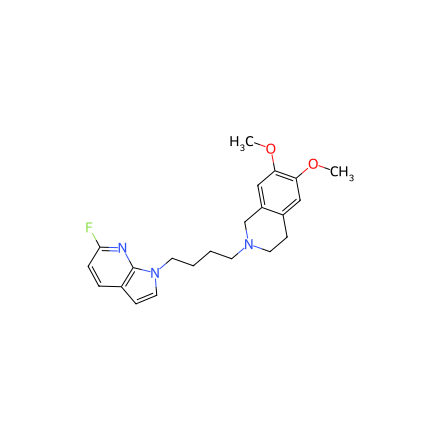 COc1cc2c(cc1OC)CN(CCCCn1ccc3ccc(F)nc31)CC2